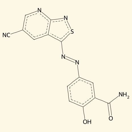 N#Cc1cnc2nsc(/N=N/c3ccc(O)c(C(N)=O)c3)c2c1